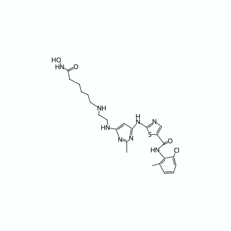 Cc1nc(NCCNCCCCCC(=O)NO)cc(Nc2ncc(C(=O)Nc3c(C)cccc3Cl)s2)n1